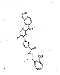 O=C(NCCc1ccccc1O)c1ccn(-c2nc(Nc3ccc4c(c3)OCO4)ncc2F)c1